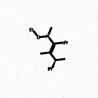 CCC/C(=C(/C)[C@@H](C)C(C)C)N(C)OCC